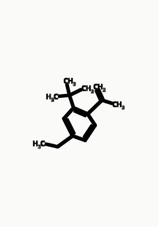 C=C(C)c1ccc(CC)cc1C(C)(C)C